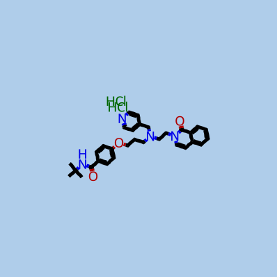 CC(C)(C)NC(=O)c1ccc(OCCCN(CCn2ccc3ccccc3c2=O)Cc2ccncc2)cc1.Cl.Cl